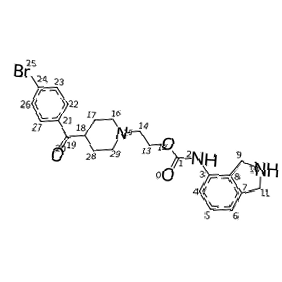 O=C(Nc1cccc2c1CNC2)OCCN1CCC(C(=O)c2ccc(Br)cc2)CC1